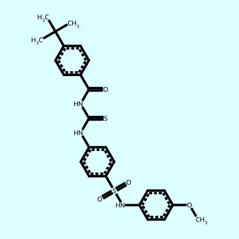 COc1ccc(NS(=O)(=O)c2ccc(NC(=S)NC(=O)c3ccc(C(C)(C)C)cc3)cc2)cc1